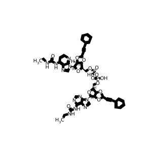 CCNC(=O)Nc1ncnc2c1ncn2[C@@H]1O[C@H](COP(=O)(O)OP(=O)(O)OC[C@H]2O[C@@H](n3cnc4c(NC(=O)NCC)ccnc43)[C@H]3OC(C#Cc4ccccc4)OC23)C2OC(C#Cc3ccccc3)OC21